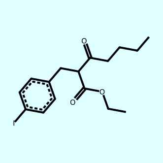 CCCCC(=O)C(Cc1ccc(I)cc1)C(=O)OCC